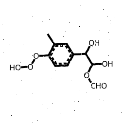 Cc1cc(C(O)C(O)OC=O)ccc1OOO